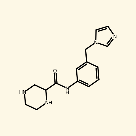 O=C(Nc1cccc(Cn2ccnc2)c1)C1CNCCN1